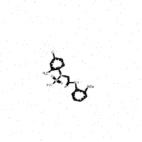 COc1ccccc1NC(=O)CN(c1ccc(Cl)cc1C)S(C)(=O)=O